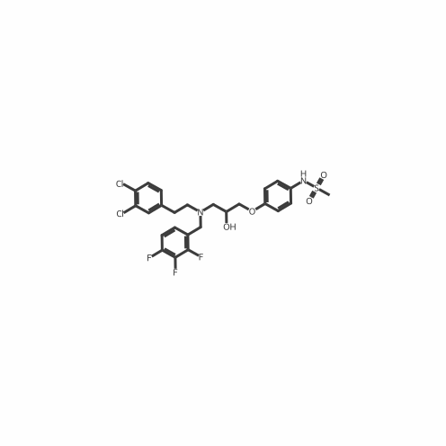 CS(=O)(=O)Nc1ccc(OCC(O)CN(CCc2ccc(Cl)c(Cl)c2)Cc2ccc(F)c(F)c2F)cc1